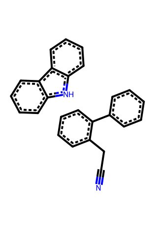 N#CCc1ccccc1-c1ccccc1.c1ccc2c(c1)[nH]c1ccccc12